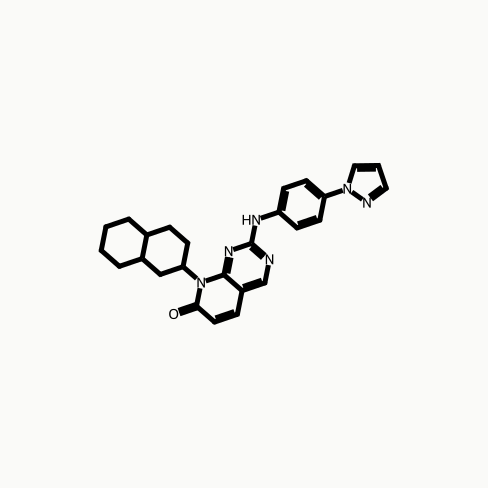 O=c1ccc2cnc(Nc3ccc(-n4cccn4)cc3)nc2n1C1CCC2CCCCC2C1